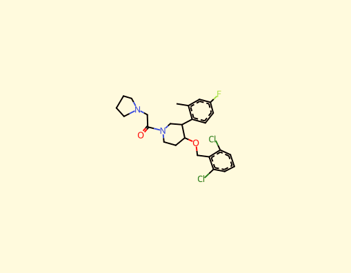 Cc1cc(F)ccc1C1CN(C(=O)CN2CCCC2)CCC1OCc1c(Cl)cccc1Cl